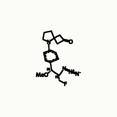 CO[C@H](c1ccc(N2CCCC23CC(=O)C3)cc1)[C@@H](CF)N=[N+]=[N-]